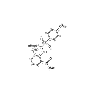 CCCCCCCC(Nc1c(C=O)cccc1C(=O)OC)S(=O)(=O)c1ccc(OC)cc1